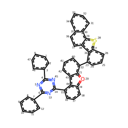 c1ccc(-c2nc(-c3ccccc3)nc(-c3cccc4oc5c(-c6cccc7sc8c9ccccc9ccc8c67)cccc5c34)n2)cc1